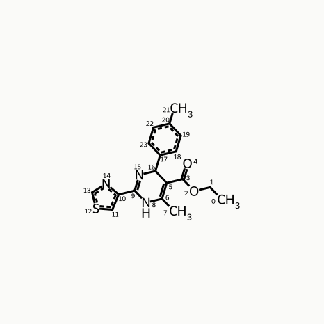 CCOC(=O)C1=C(C)NC(c2cscn2)=NC1c1ccc(C)cc1